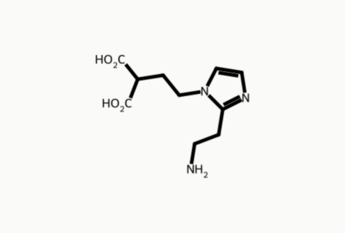 NCCc1nccn1CCC(C(=O)O)C(=O)O